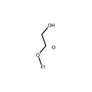 CCOCCO.[O]